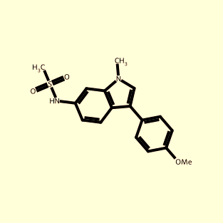 COc1ccc(-c2cn(C)c3cc(NS(C)(=O)=O)ccc23)cc1